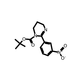 CC(C)(C)OC(=O)N1CCCN=C1c1cccc([N+](=O)[O-])c1